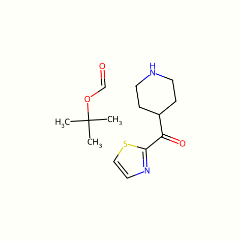 CC(C)(C)OC=O.O=C(c1nccs1)C1CCNCC1